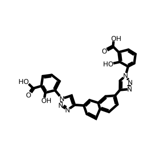 O=C(O)c1cccc(-n2cc(-c3ccc4ccc(-c5cn(-c6cccc(C(=O)O)c6O)nn5)cc4c3)nn2)c1O